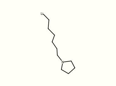 [Li][CH2]CCCCCN1CCCC1